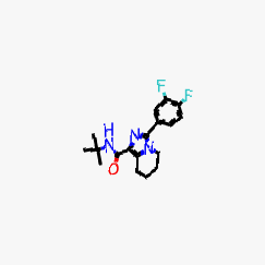 CC(C)(C)NC(=O)c1nc(-c2ccc(F)c(F)c2)n2c1CCCC2